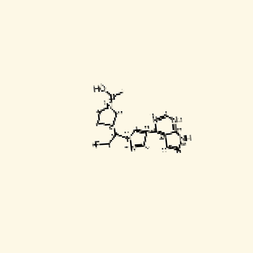 CB(O)N1CC[C@H](C(CF)n2cc(-c3ncnc4[nH]ccc34)cn2)C1